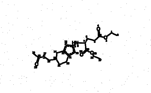 CCOC(=O)CC[C@H](Nc1cc2c(s1)CC(CSC(C)=O)CC2)C(=O)OCC